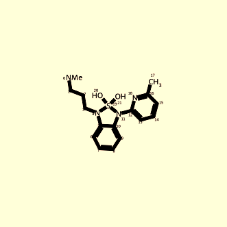 CNCCCN1c2ccccc2N(c2cccc(C)n2)S1(O)O